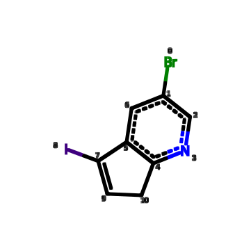 Brc1cnc2c(c1)C(I)=CC2